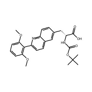 COc1cccc(OC)c1-c1ccc2cc(C[C@@H](NC(=O)OC(C)(C)C)C(=O)O)ccc2n1